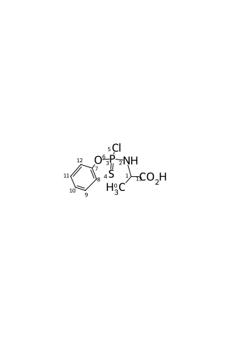 CC(NP(=S)(Cl)Oc1ccccc1)C(=O)O